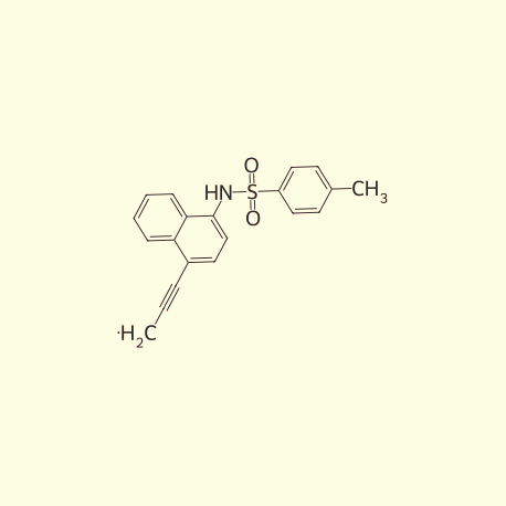 [CH2]C#Cc1ccc(NS(=O)(=O)c2ccc(C)cc2)c2ccccc12